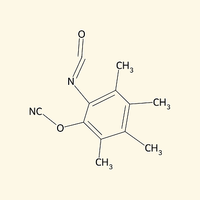 Cc1c(C)c(C)c(OC#N)c(N=C=O)c1C